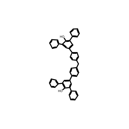 Oc1c(-c2ccccc2)cc(-c2ccc(Cc3ccc(-c4cc(-c5ccccc5)c(O)c(-c5ccccc5)c4)cc3)cc2)cc1-c1ccccc1